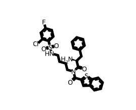 N[C@@H](Cc1ccccc1)C(=O)N(CCCCNS(=O)(=O)c1ccc(F)cc1Cl)C(=O)c1cc2ccccc2s1